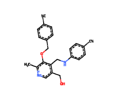 [C-]#[N+]c1ccc(COc2c(C)ncc(CO)c2CNc2ccc(C#N)cc2)cc1